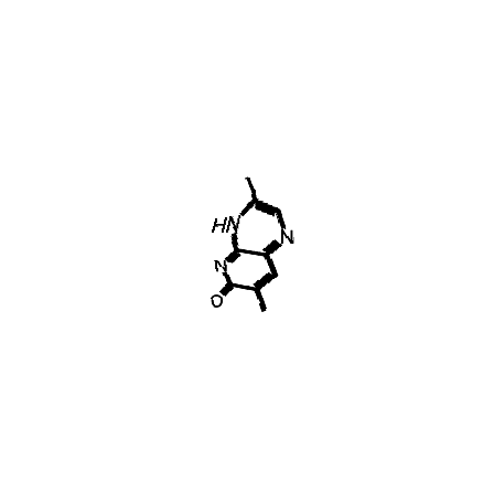 Cc1cnc2cc(C)c(=O)nc-2[nH]1